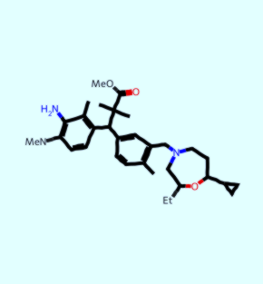 CCC1CN(Cc2cc(C(c3ccc(NC)c(N)c3C)C(C)(C)C(=O)OC)ccc2C)CCC(C2CC2)O1